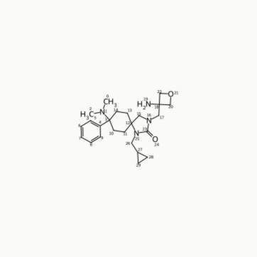 CN(C)C1(c2ccccc2)CCC2(CC1)CN(CC1(N)COC1)C(=O)N2CC1CC1